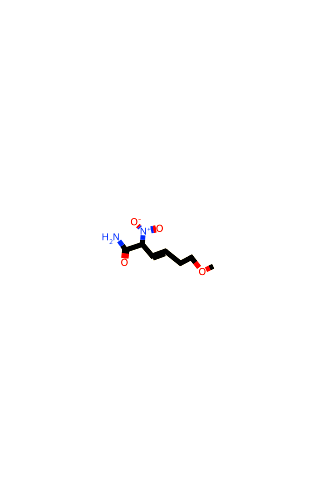 COCCC=CC(C(N)=O)[N+](=O)[O-]